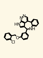 Clc1ccccc1COc1cccc(C2Nc3ccccc3-c3cnnc4[nH]cc2c34)c1